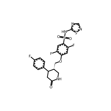 O=C1CC(c2ccc(F)cc2)[C@H](COc2cc(F)c(S(=O)(=O)Nc3ncns3)cc2F)CN1